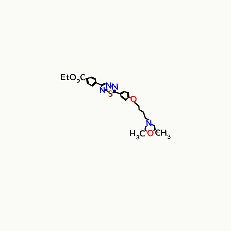 CCOC(=O)c1ccc(-c2cn3nc(-c4ccc(OCCCCCCN5C[C@@H](C)O[C@@H](C)C5)cc4)sc3n2)cc1